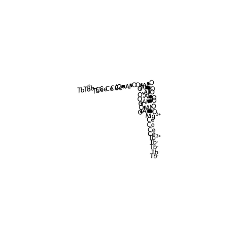 [Ce+3].[Ce].[Ce].[Ce].[Ce].[Ce].[Ce].[Ce].[Ce].[Mg+2].[O]=[Al][O-].[O]=[Al][O-].[O]=[Al][O-].[O]=[Al][O-].[O]=[Al][O-].[O]=[Al][O-].[O]=[Al][O-].[O]=[Al][O-].[Tb+3].[Tb].[Tb].[Tb].[Tb].[Tb].[Tb].[Tb].[Tb]